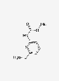 CC(C)(C)OC(=O)Nc1cccc(CN)n1